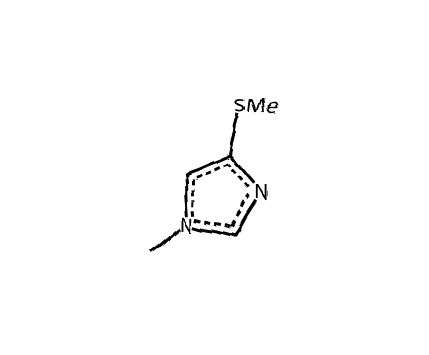 [CH2]Sc1cn(C)cn1